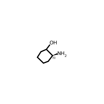 N[C@H]1CCCCC1O